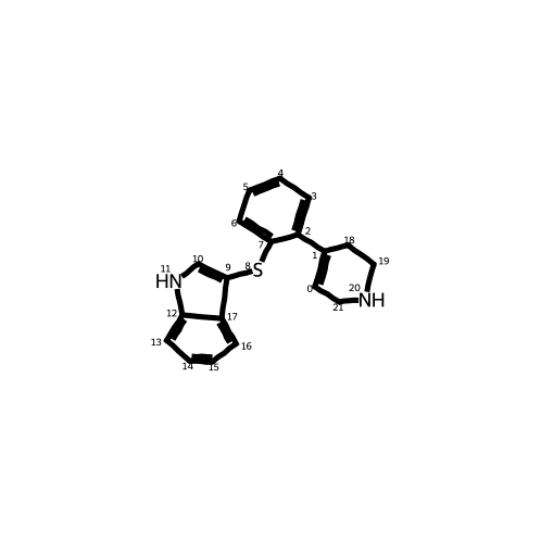 C1=C(c2ccccc2Sc2c[nH]c3ccccc23)CCNC1